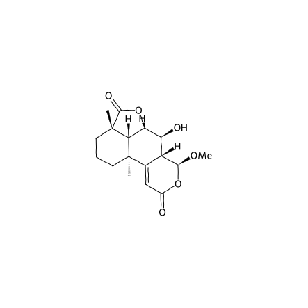 CO[C@H]1OC(=O)C=C2[C@@H]1[C@H](O)[C@H]1OC(=O)[C@@]3(C)CCC[C@@]2(C)[C@@H]13